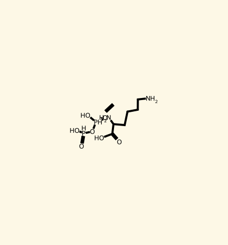 C=C.NCCCCC(N)C(=O)O.O=[PH](O)O[PH](=O)O